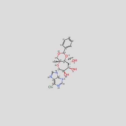 O[C@@H]1[C@@H](O)[C@@H]2OC(c3ccccc3)OC[C@H]2O[C@@H](n2cnc3c(Cl)ncnc32)[C@@H]1O